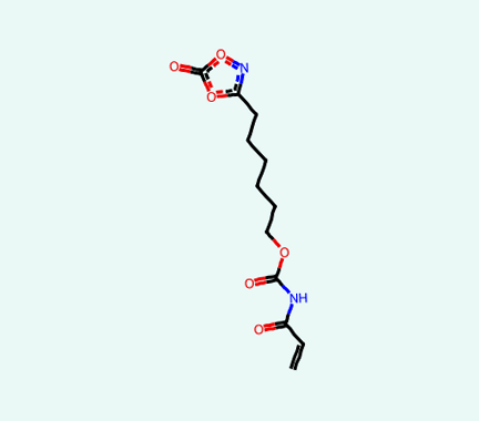 C=CC(=O)NC(=O)OCCCCCCc1noc(=O)o1